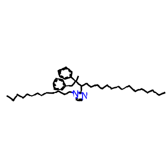 CCCCCCCCCCCCCCCC(c1nccn1CCCCCCCCCCCCC)C(C)(Cc1ccccc1)c1ccccc1